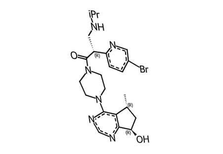 CC(C)NC[C@@H](C(=O)N1CCN(c2ncnc3c2[C@H](C)C[C@H]3O)CC1)c1ccc(Br)cn1